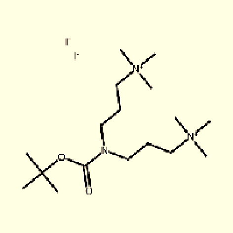 CC(C)(C)OC(=O)N(CCC[N+](C)(C)C)CCC[N+](C)(C)C.[I-].[I-]